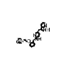 c1ccc(OCCN2CCOCC2)c(CNc2ccc(Cc3c[nH]c4ncccc34)cn2)c1